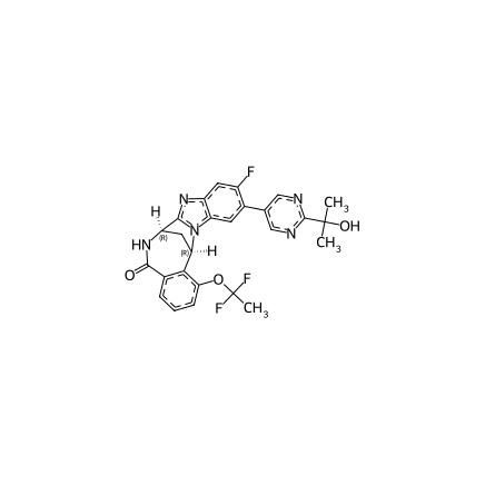 CC(F)(F)Oc1cccc2c1[C@H]1C[C@@H](NC2=O)c2nc3cc(F)c(-c4cnc(C(C)(C)O)nc4)cc3n21